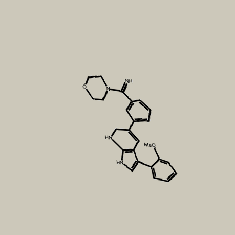 COc1ccccc1-c1c[nH]c2c1C=C(c1cccc(C(=N)N3CCOCC3)c1)CN2